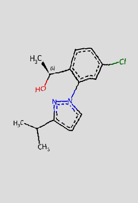 CC(C)c1ccn(-c2cc(Cl)ccc2[C@H](C)O)n1